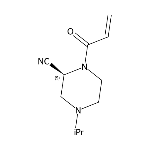 C=CC(=O)N1CCN(C(C)C)C[C@H]1C#N